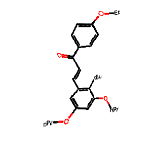 CCCOc1cc(C=CC(=O)c2ccc(OCC)cc2)c(C(C)(C)C)c(OCCC)c1